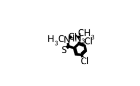 CNc1c(Cl)cc(Cl)cc1C(=S)N(C)C